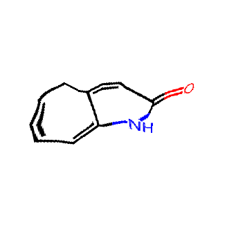 O=C1C=C2CC=CC=C2N1